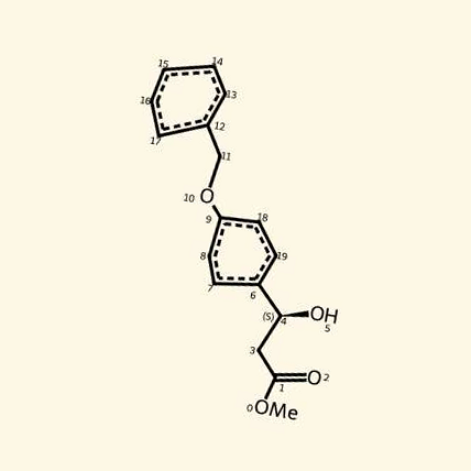 COC(=O)C[C@H](O)c1ccc(OCc2ccccc2)cc1